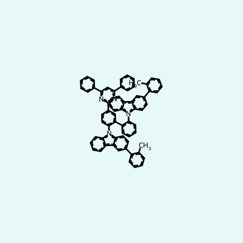 Cc1ccccc1-c1ccc2c(c1)c1ccccc1n2-c1ccccc1-c1cc(-c2nc(-c3ccccc3)cc(-c3ccccc3)n2)ccc1-n1c2ccccc2c2cc(-c3ccccc3C)ccc21